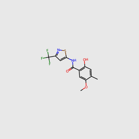 COc1cc(C(=O)Nc2cc(C(F)(F)F)ns2)c(O)cc1C